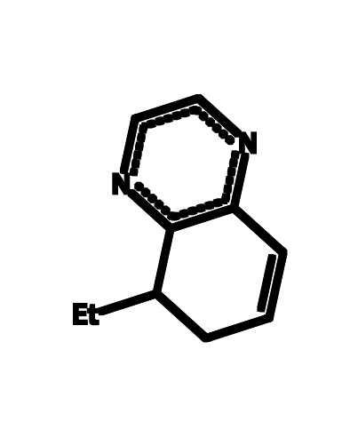 [CH2]CC1CC=Cc2nccnc21